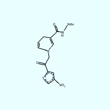 CNNC(=O)C1=CN(CC(=O)c2cc([N+](=O)[O-])cs2)C=CC1